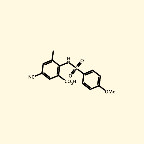 COc1ccc(S(=O)(=O)Nc2c(C)cc(C#N)cc2C(=O)O)cc1